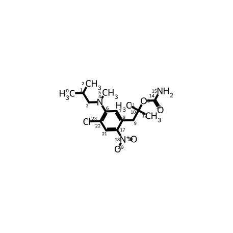 CC(C)CN(C)c1cc(CC(C)(C)OC(N)=O)c([N+](=O)[O-])cc1Cl